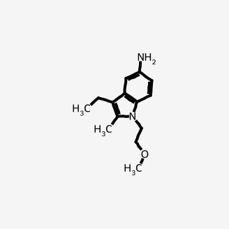 CCc1c(C)n(CCOC)c2ccc(N)cc12